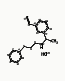 CC(NCCCc1ccccc1)c1cccc(C=S)c1.Cl